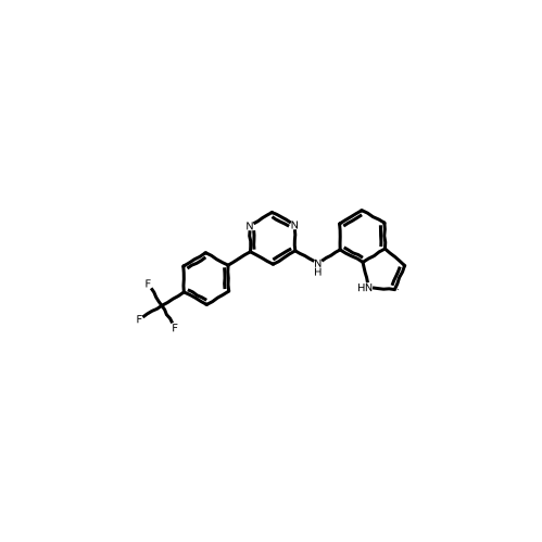 FC(F)(F)c1ccc(-c2cc(Nc3cccc4c[c][nH]c34)ncn2)cc1